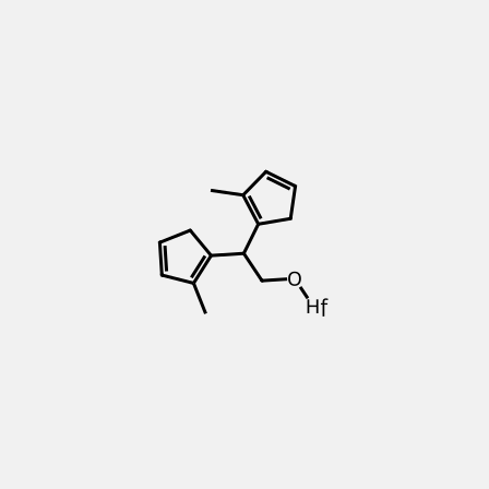 CC1=C(C(C[O][Hf])C2=C(C)C=CC2)CC=C1